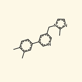 Cc1ccc(-c2cncc(Cn3ccnc3C)c2)cc1C